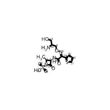 C[C@H]1[C@H](NC(=O)/C(=N\OCC(N)CO)c2cccs2)C(=O)N1S(=O)(=O)O